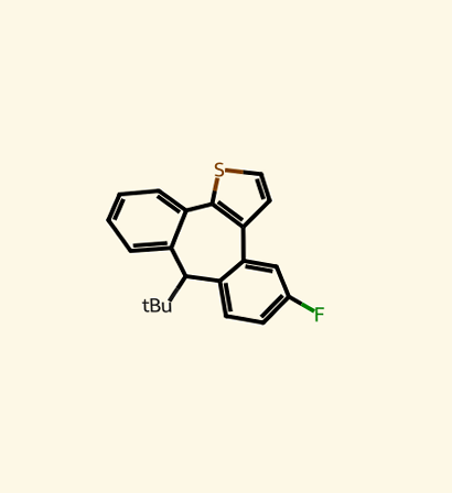 CC(C)(C)C1c2ccc(F)cc2-c2ccsc2-c2ccccc21